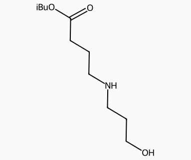 CC(C)COC(=O)CCCNCCCO